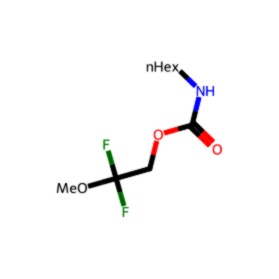 CCCCCCNC(=O)OCC(F)(F)OC